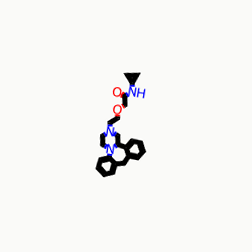 O=C(COCCN1CCN2c3ccccc3Cc3ccccc3C2C1)NC1CC1